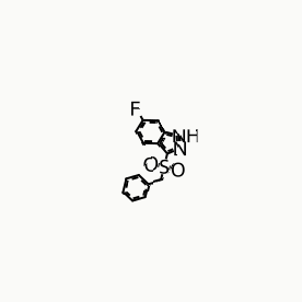 O=S(=O)(Cc1ccccc1)c1n[nH]c2cc(F)ccc12